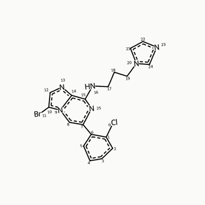 Clc1ccccc1-c1cn2c(Br)cnc2c(NCCCn2ccnc2)n1